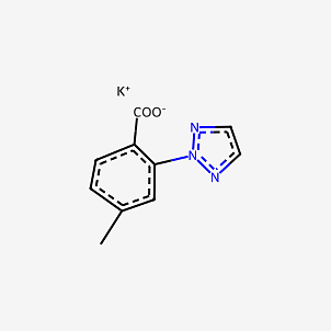 Cc1ccc(C(=O)[O-])c(-n2nccn2)c1.[K+]